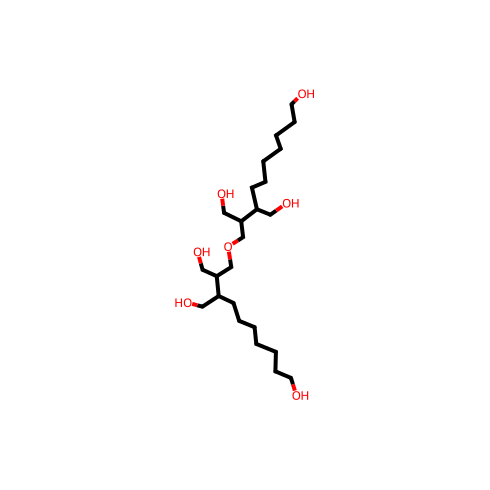 OCCCCCCCC(CO)C(CO)COCC(CO)C(CO)CCCCCCCO